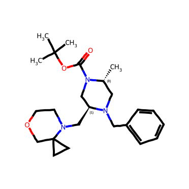 C[C@@H]1CN(Cc2ccccc2)[C@@H](CN2CCOCC23CC3)CN1C(=O)OC(C)(C)C